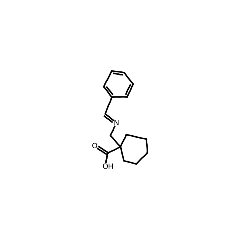 O=C(O)C1(C/N=C/c2ccccc2)CCCCC1